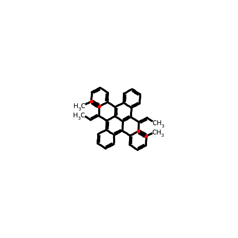 C/C=C\C(=C/C)c1c2ccccc2c(-c2ccccc2)c2c(C(/C=C\C)=C/C)c3ccccc3c(-c3ccccc3)c12